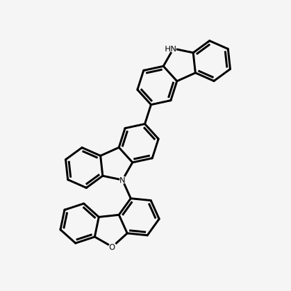 c1ccc2c(c1)[nH]c1ccc(-c3ccc4c(c3)c3ccccc3n4-c3cccc4oc5ccccc5c34)cc12